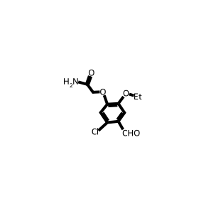 CCOc1cc(C=O)c(Cl)cc1OCC(N)=O